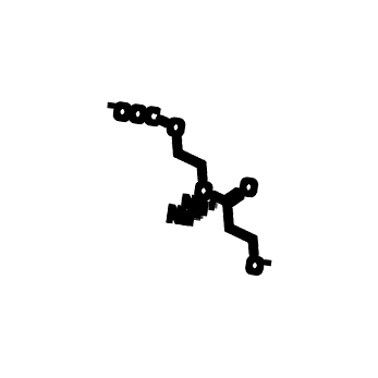 O=C([O-])OCCOC(=O)CC[O-].[Na+].[Na+]